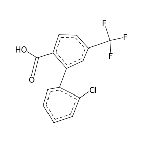 O=C(O)c1ccc(C(F)(F)F)cc1-c1ccccc1Cl